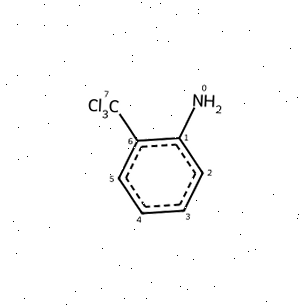 Nc1ccccc1C(Cl)(Cl)Cl